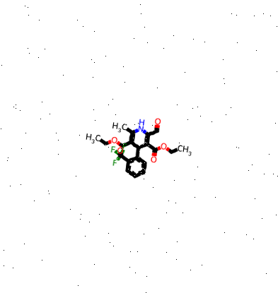 CCOC(=O)C1=C(C)NC(C=O)=C(C(=O)OCC)C1c1ccccc1C(F)(F)F